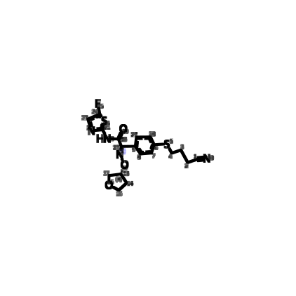 N#CCCCSc1ccc(/C(=N\O[C@@H]2CCOC2)C(=O)Nc2ncc(F)s2)cc1